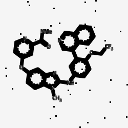 CNC(=O)c1cc(Oc2ccc3c(c2)nc(Nc2ccc(OCC(F)(F)F)c(-c4cncc5ccccc45)c2)n3C)ccn1